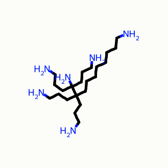 NCCCCCCCCC(CCCN)(CCCN)C(N)(CCCN)CCCN